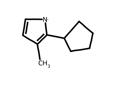 CC1=C(C2CCCC2)[N]C=C1